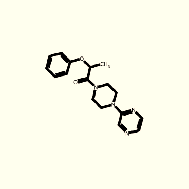 CC(Oc1ccccc1)C(=O)N1CCN(c2cnccn2)CC1